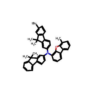 Cc1cccc2c1oc1c(N(c3ccc4c(c3)C(C)(C)c3ccccc3-4)c3ccc4c(c3)C(C)(C)c3cc(C(C)(C)C)ccc3-4)cccc12